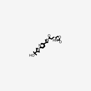 CC(C)(O)C1CN(c2ccc(C3CN(C(=O)CC[C@@H]4COC(=O)N4)C3)cn2)C1